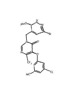 COC1NN=C(Br)C=C1Cn1cnc(C(F)(F)F)c(Oc2cc(Cl)cc(C#N)c2)c1=O